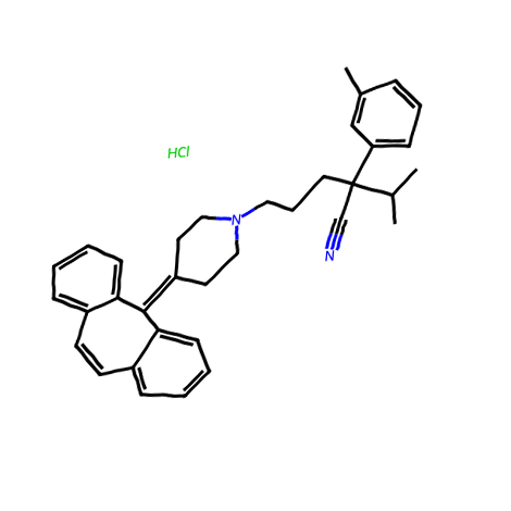 Cc1cccc(C(C#N)(CCCN2CCC(=C3c4ccccc4C=Cc4ccccc43)CC2)C(C)C)c1.Cl